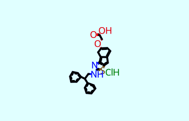 Cl.O=C(O)COC1=CC=C2C=c3sc(NCC(c4ccccc4)c4ccccc4)nc3=C2C1